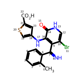 Cc1ccccc1C(=N)c1c(Br)c[nH]c(=O)c1Nc1csc(C(=O)O)c1